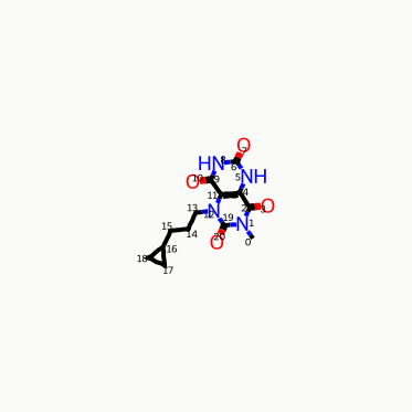 Cn1c(=O)c2[nH]c(=O)[nH]c(=O)c2n(CCCC2CC2)c1=O